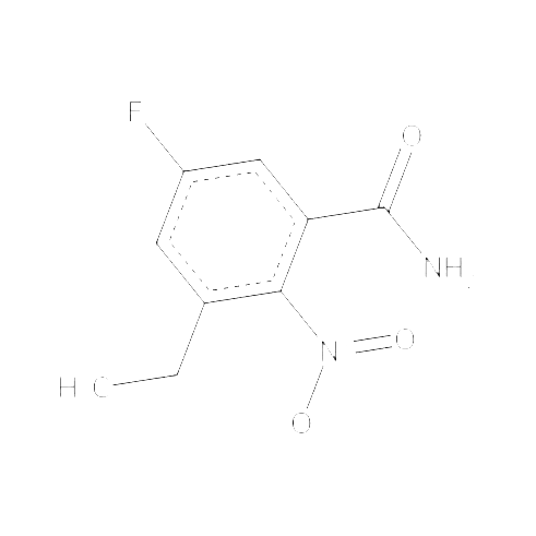 CCc1cc(F)cc(C(N)=O)c1[N+](=O)[O-]